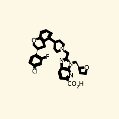 O=C(O)c1ccc2nc(CN3CCC(c4cccc5c4C[C@H](c4ccc(Cl)cc4F)CO5)CC3)n(C[C@@H]3CCO3)c2n1